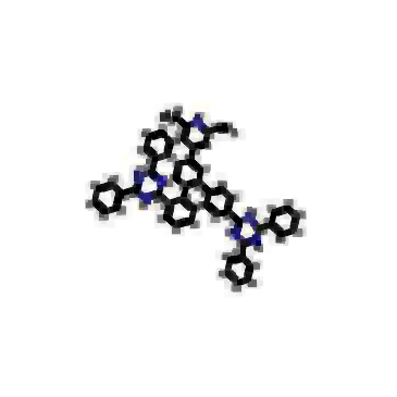 Cc1cc(-c2ccc(-c3ccccc3-c3nc(-c4ccccc4)nc(-c4ccccc4)n3)c(-c3ccc(-c4nc(-c5ccccc5)nc(-c5ccccc5)n4)cc3)c2)cc(C)n1